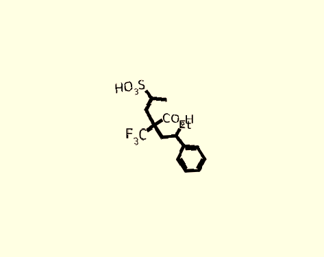 CCC(CC(CC(C)S(=O)(=O)O)(C(=O)O)C(F)(F)F)c1ccccc1